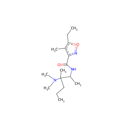 CCCC(C)(C(C)NC(=O)c1noc(CC)c1C)N(C)C